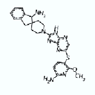 COc1nc(N)ccc1Sc1cnc2[nH]c(N3CCC4(CC3)Cc3ccccc3[C@H]4N)nc2n1